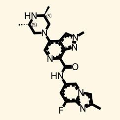 Cc1cn2cc(NC(=O)c3ncc(N4C[C@H](C)N[C@@H](C)C4)c4cn(C)nc34)cc(F)c2n1